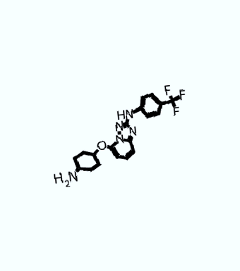 NC1CCC(Oc2cccc3nc(Nc4ccc(C(F)(F)F)cc4)nn23)CC1